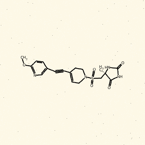 COc1ccc(C#CC2=CCN(S(=O)(=O)C[C@@]3(C)NC(=O)NC3=O)CC2)cn1